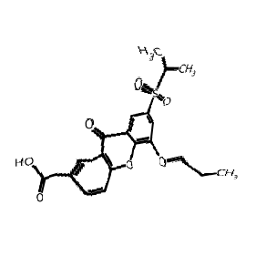 CCCOc1cc(S(=O)(=O)C(C)C)cc2c(=O)c3cc(C(=O)O)ccc3oc12